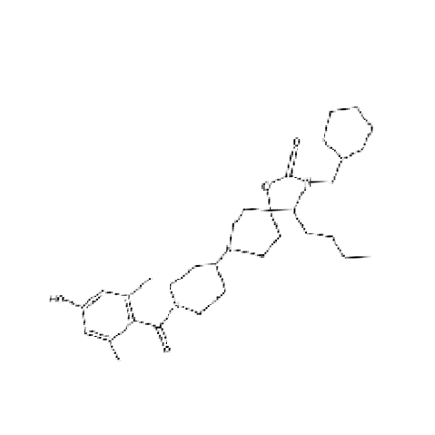 CCCCC1N(CC2CCCCC2)C(=O)OC12CCN(C1CCN(C(=O)c3c(C)cc(O)cc3C)CC1)CC2